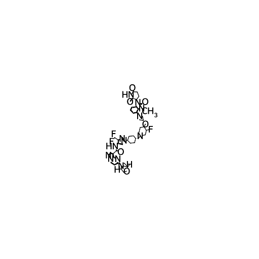 Cn1c(=O)n(C2CCC(=O)NC2=O)c2cccc(N3CC(O[C@@H]4CCN(C[C@H]5CC[C@H](n6cc(NC(=O)c7cnn8ccc(N9C[C@H]%10C[C@@H]9CO%10)nc78)c(C(F)F)n6)CC5)C[C@@H]4F)C3)c21